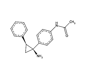 CC(=O)Nc1ccc([C@]2(N)C[C@H]2c2ccccc2)cc1